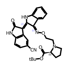 CC(C)(C)OC(=O)[C@@H]1CCCN1CCO/N=C1/C(=C2/C(=O)Nc3ccc(C#N)cc32)Nc2ccccc21